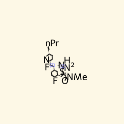 CCCC#Cc1ccc(/C(F)=C/c2ccc(F)c(C[C@@](C)(S/C(N)=N\C)C(=O)NC)c2)nc1